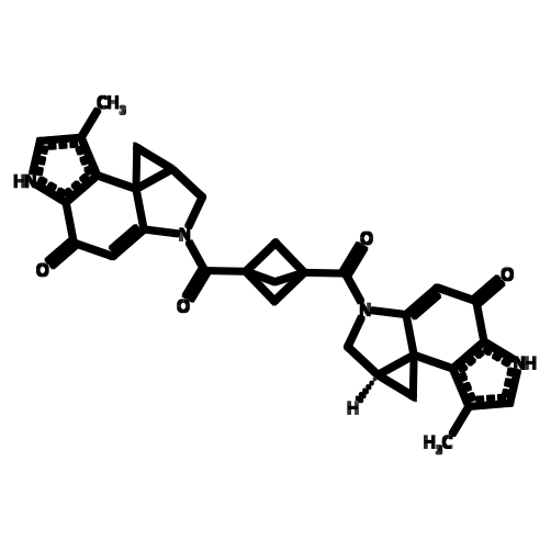 Cc1c[nH]c2c1C13CC1CN(C(=O)C14CC(C(=O)N5C[C@@H]6CC67C5=CC(=O)c5[nH]cc(C)c57)(C1)C4)C3=CC2=O